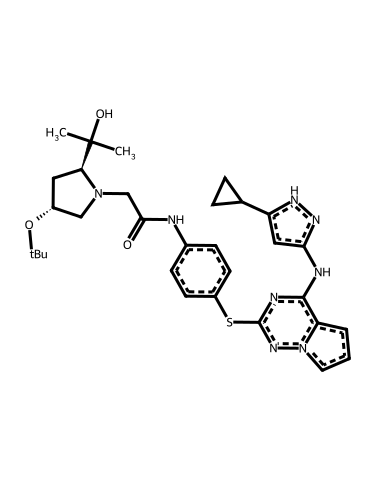 CC(C)(C)O[C@@H]1C[C@@H](C(C)(C)O)N(CC(=O)Nc2ccc(Sc3nc(Nc4cc(C5CC5)[nH]n4)c4cccn4n3)cc2)C1